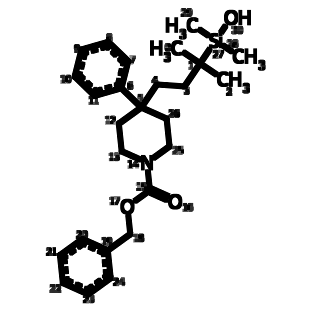 CC(C)(CCC1(c2ccccc2)CCN(C(=O)OCc2ccccc2)CC1)[Si](C)(C)O